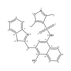 Cc1noc(C)c1S(=O)(=O)Nc1cc(Sc2nc3ccccc3s2)c(O)c2ccccc12